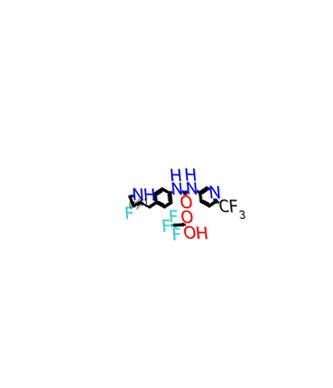 O=C(Nc1ccc(C[C@@H]2NC[C@@H]2F)cc1)Nc1ccc(C(F)(F)F)nc1.O=C(O)C(F)(F)F